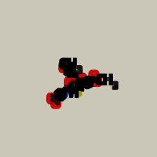 COC(=O)c1ccc(C2=C(C(=O)OCc3ccc(OC)cc3)N3C(=O)[C@H](N=Cc4ccc([N+](=O)[O-])cc4)[C@@H]3SC2)cc1